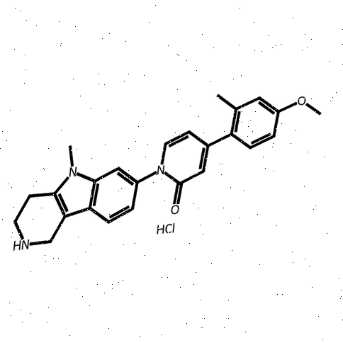 COc1ccc(-c2ccn(-c3ccc4c5c(n(C)c4c3)CCNC5)c(=O)c2)c(C)c1.Cl